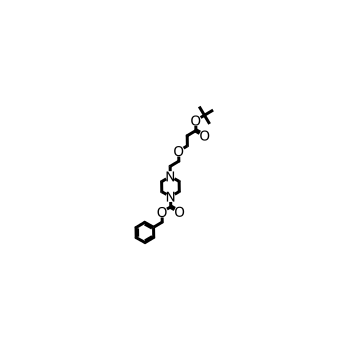 CC(C)(C)OC(=O)CCOCCN1CCN(C(=O)OCc2ccccc2)CC1